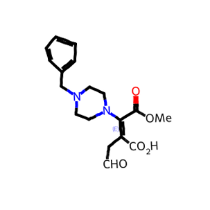 COC(=O)/C(=C(/CC=O)C(=O)O)N1CCN(Cc2ccccc2)CC1